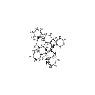 Cc1nc(-n2c3ccccc3c3cc4c5c(c32)-c2ccc3ccccc3c2C(CC5)c2ccccc2-4)nc2cccnc12